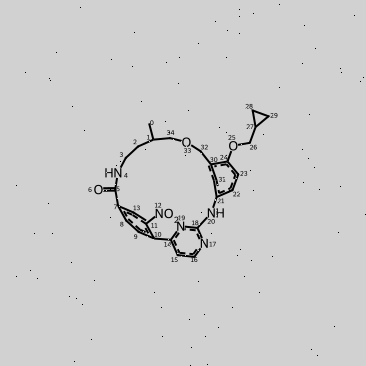 CC1CCNC(=O)c2ccc(c([N+](=O)[O-])c2)-c2ccnc(n2)Nc2ccc(OCC3CC3)c(c2)COC1